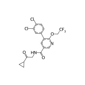 O=C(NCC(=O)C1CC1)c1cnc(OCC(F)(F)F)c(-c2ccc(Cl)c(Cl)c2)c1